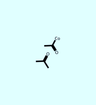 CC(C)=O.C[C](=O)[Co]